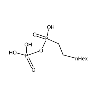 CCCCCCCCP(=O)(O)OP(=O)(O)O